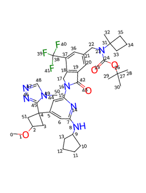 COC1CC(c2cc(NC3CCCC3)nc(N3Cc4c(cc(CN(C(=O)OC(C)(C)C)C5(C)CCC5)cc4C(F)(F)F)C3=O)c2)(c2nncn2C)C1